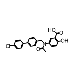 CC(=O)N(Cc1ccc(-c2ccc(Cl)cc2)cc1)c1ccc(O)c(C(=O)O)c1